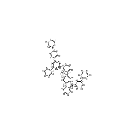 c1ccc(-c2ccc(-c3nc(-c4ccccc4)nc(-c4cccc5c4oc4cc6c7ccccc7n(-c7cccc(-c8ccccc8)c7)c6cc45)n3)cc2)cc1